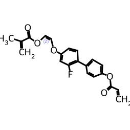 C=CC(=O)Oc1ccc(-c2ccc(O/C=C\OC(=O)C(=C)C)cc2F)cc1